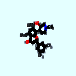 COc1cc(OC)c2c(=O)cc(-c3cc(C(F)(F)F)cc(C(F)(F)F)c3)oc2c1[C@H]1CCN(C)C[C@H]1O